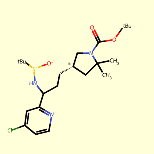 CC(C)(C)OC(=O)N1C[C@@H](CCC(N[S+]([O-])C(C)(C)C)c2cc(Cl)ccn2)CC1(C)C